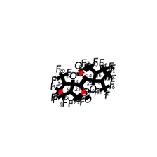 O=S1(=O)OC(C(C(F)(F)F)C(F)(F)F)(C(C(F)(F)F)C(F)(F)F)C2=C1C(C(C(F)(F)F)C(F)(F)F)(C(C(F)(F)F)C(F)(F)F)OS2(=O)=O